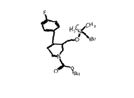 CC(C)(C)OC(=O)N1CCC(c2ccc(F)cc2)C(CO[Si](C)(C)C(C)(C)C)C1